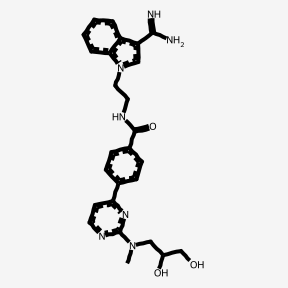 CN(CC(O)CO)c1nccc(-c2ccc(C(=O)NCCn3cc(C(=N)N)c4ccccc43)cc2)n1